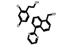 OCCc1ccc(Cl)cc1Cl.OCc1cccc2c(-c3ncccn3)cccc12